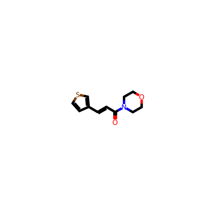 O=C(C=Cc1ccsc1)N1CCOCC1